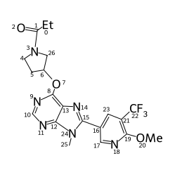 CCC(=O)N1CCC(Oc2ncnc3c2nc(-c2cnc(OC)c(C(F)(F)F)c2)n3C)C1